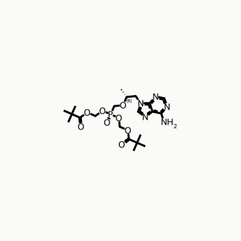 C[C@H](Cn1cnc2c(N)ncnc21)OCP(=O)(OCOC(=O)C(C)(C)C)OCOC(=O)C(C)(C)C